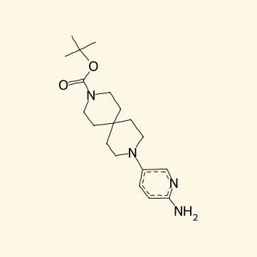 CC(C)(C)OC(=O)N1CCC2(CC1)CCN(c1ccc(N)nc1)CC2